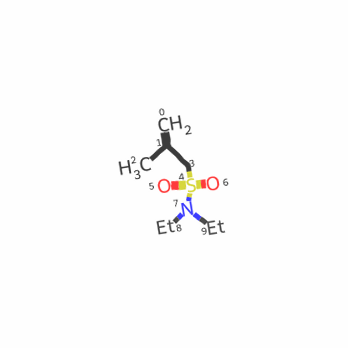 C=C(C)CS(=O)(=O)N(CC)CC